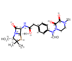 CCN1CCN(N(C=O)c2ccc(CC(=O)N[C@@H]3C(=O)N4[C@@H]3SC(C)(C)[C@@H]4C(=O)O)cc2)C(=O)C1=O